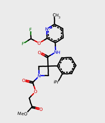 COC(=O)COC(=O)N1CC(C(=O)Nc2ccc(C)nc2OC(F)F)(c2ccccc2C(C)C)C1